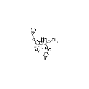 CCOC(=O)C1=CN(C(=O)c2ccc(F)cc2)CC(C)(C)c2c1[nH]c1cc(OCCN3CCCCC3)ccc21